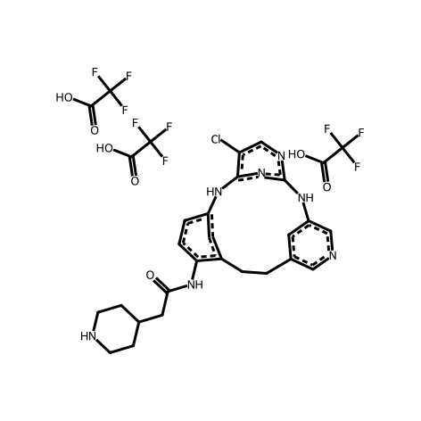 O=C(CC1CCNCC1)Nc1ccc2cc1CCc1cncc(c1)Nc1ncc(Cl)c(n1)N2.O=C(O)C(F)(F)F.O=C(O)C(F)(F)F.O=C(O)C(F)(F)F